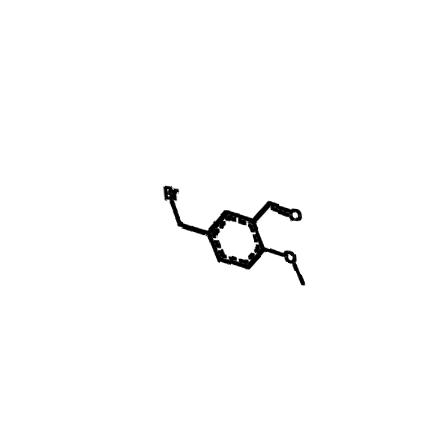 COc1ccc(CBr)cc1C=O